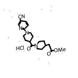 COC(=O)CC1CCN(C(=O)C2CCN(c3ccc(C#N)cn3)CC2)CC1.Cl